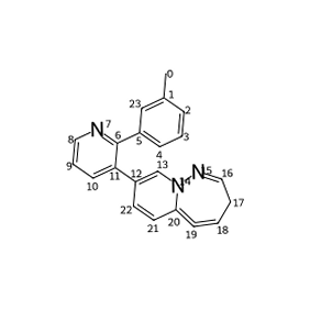 Cc1cccc(-c2ncccc2C2=CN3N=CCC=C=C3C=C2)c1